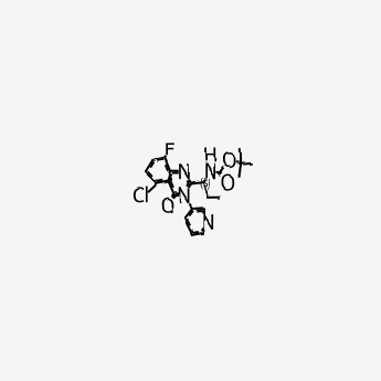 CC[C@H](NC(=O)OC(C)(C)C)c1nc2c(F)ccc(Cl)c2c(=O)n1-c1cccnc1